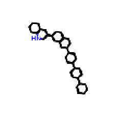 C1=CC(C2CCC(C3CCC(C4CCC5=C(C4)CC(C4CNC6=C(CCCC6)C4)CC5)CC3)CC2)CCC1